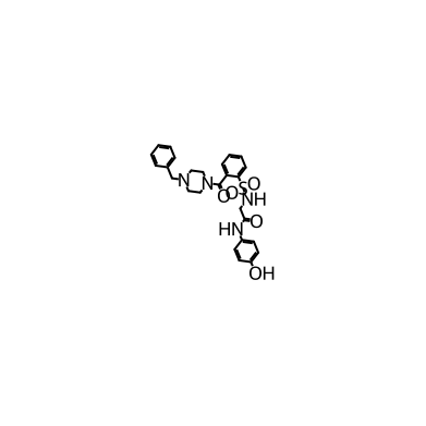 O=C(CNS(=O)(=O)c1ccccc1C(=O)N1CCN(Cc2ccccc2)CC1)Nc1ccc(O)cc1